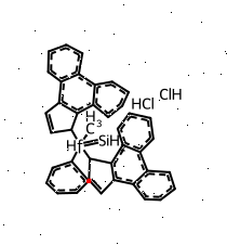 Cl.Cl.[CH3][Hf](=[SiH2])([c]1ccccc1)([CH]1C=Cc2c1c1ccccc1c1ccccc21)[CH]1C=Cc2c1c1ccccc1c1ccccc21